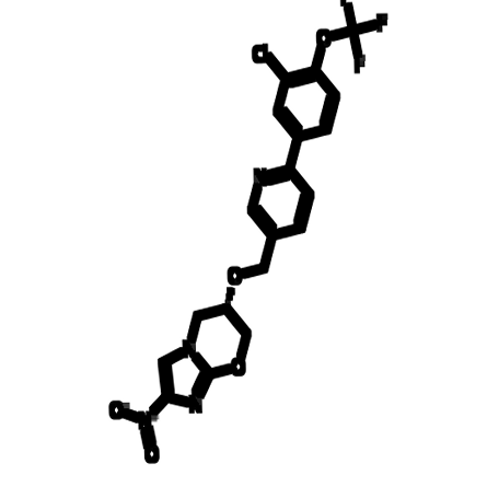 O=[N+]([O-])c1cn2c(n1)OC[C@@H](OCc1ccc(-c3ccc(OC(F)(F)F)c(Cl)c3)nc1)C2